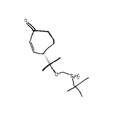 CC(C)(C)[SiH2]OC(C)(C)[C@@H]1C=CC(=O)CC1